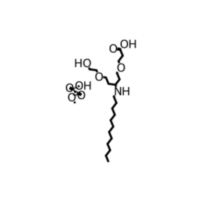 CCCCCCCCCCCCNC(CCOCCO)CCOCCC(=O)O.COS(=O)(=O)O